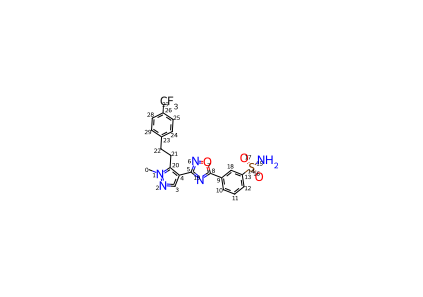 Cn1ncc(-c2noc(-c3cccc(S(N)(=O)=O)c3)n2)c1CCc1ccc(C(F)(F)F)cc1